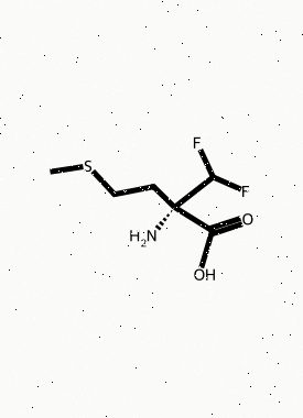 CSCC[C@](N)(C(=O)O)C(F)F